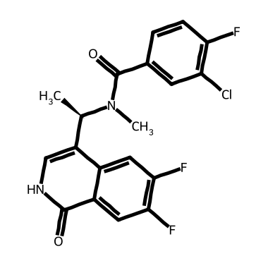 C[C@H](c1c[nH]c(=O)c2cc(F)c(F)cc12)N(C)C(=O)c1ccc(F)c(Cl)c1